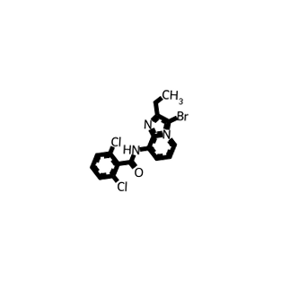 CCc1nc2c(NC(=O)c3c(Cl)cccc3Cl)cccn2c1Br